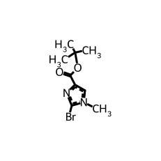 Cn1cc(C(=O)OC(C)(C)C)nc1Br